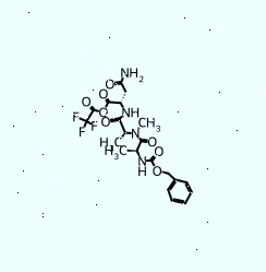 C[C@H](NC(=O)OCc1ccccc1)C(=O)N(C)[C@@H](C)C(=O)N[C@@H](CC(N)=O)C(=O)OC(=O)C(F)(F)F